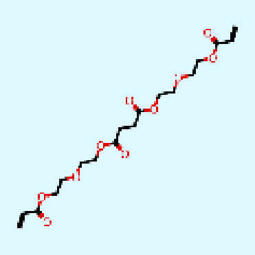 C=CC(=O)OCCOCCOC(=O)CCC(=O)OCCOCCOC(=O)C=C